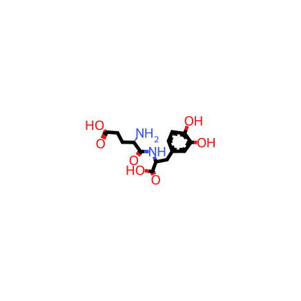 N[C@@H](CCC(=O)O)C(=O)NC(Cc1ccc(O)c(O)c1)C(=O)O